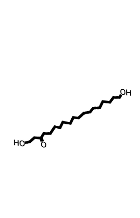 O=C(CCO)CCCCCCCCCCCCCCCCO